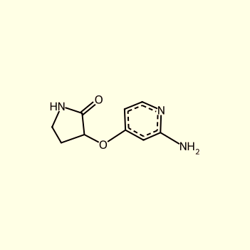 Nc1cc(OC2CCNC2=O)ccn1